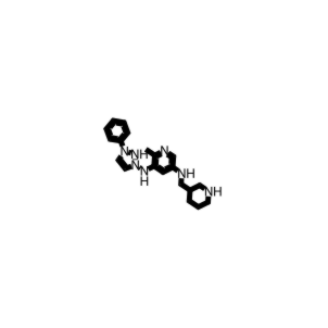 Cc1ncc(NCC2CCCNC2)cc1NN1C=CN(c2ccccc2)N1